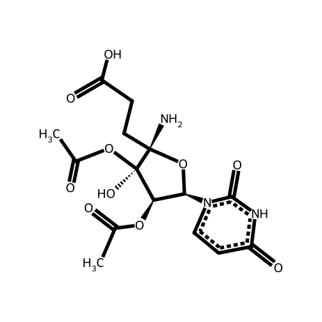 CC(=O)O[C@@H]1[C@H](n2ccc(=O)[nH]c2=O)O[C@@](N)(CCC(=O)O)[C@]1(O)OC(C)=O